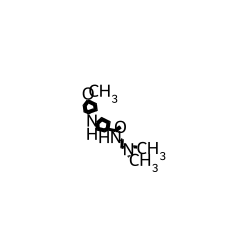 CCN(CC)CCNC(=O)c1ccc(Nc2ccc(OC)cc2)cc1